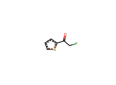 O=C(CF)c1cccs1